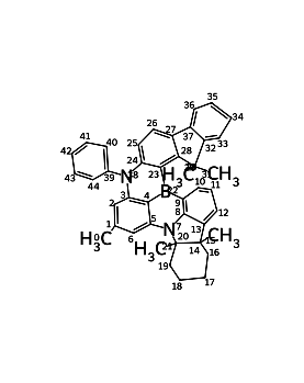 Cc1cc2c3c(c1)N1c4c(cccc4C4(C)CCCCC14C)B3c1c(ccc3c1C(C)(C)c1ccccc1-3)N2c1ccccc1